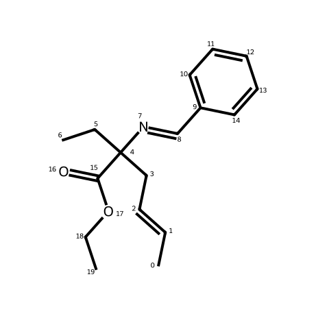 C/C=C/CC(CC)(/N=C/c1ccccc1)C(=O)OCC